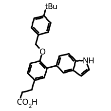 CC(C)(C)c1ccc(COc2ccc(CCC(=O)O)cc2-c2ccc3[nH]ccc3c2)cc1